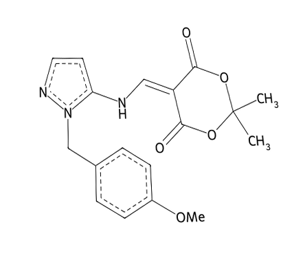 COc1ccc(Cn2nccc2NC=C2C(=O)OC(C)(C)OC2=O)cc1